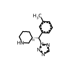 Cc1cccc(C([C@H]2CCCNC2)n2ncnn2)c1